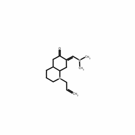 C=CCN1CCCC2CC(=O)C(=CN(C)C)CC21